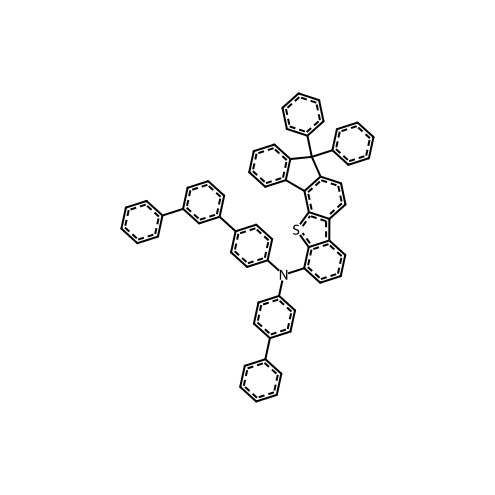 c1ccc(-c2ccc(N(c3ccc(-c4cccc(-c5ccccc5)c4)cc3)c3cccc4c3sc3c5c(ccc34)C(c3ccccc3)(c3ccccc3)c3ccccc3-5)cc2)cc1